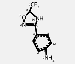 Nc1ccc(C2=NOC(C(F)(F)F)N2)cc1